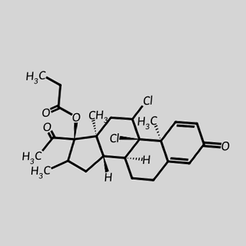 CCC(=O)O[C@]1(C(C)=O)C(C)C[C@H]2[C@@H]3CCC4=CC(=O)C=C[C@]4(C)[C@@]3(Cl)C(Cl)C[C@@]21C